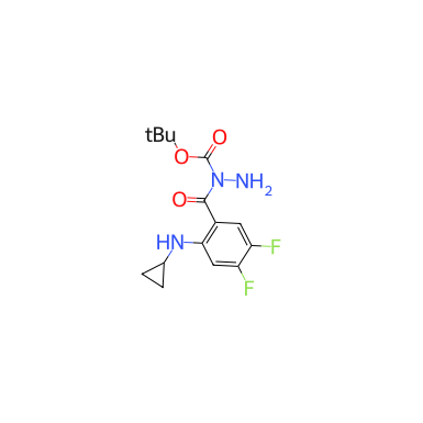 CC(C)(C)OC(=O)N(N)C(=O)c1cc(F)c(F)cc1NC1CC1